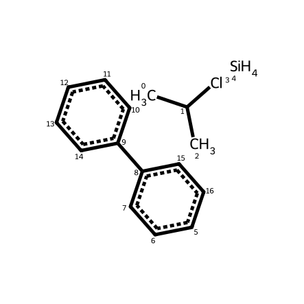 CC(C)Cl.[SiH4].c1ccc(-c2ccccc2)cc1